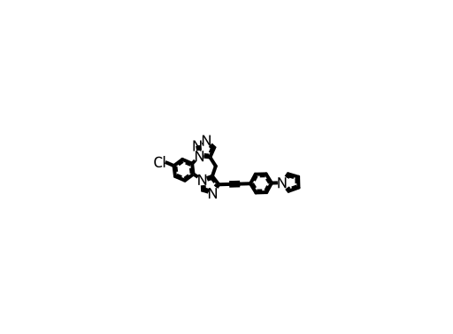 Clc1ccc2c(c1)-n1nncc1Cc1c(C#Cc3ccc(-n4cccc4)cc3)ncn1-2